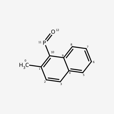 Cc1ccc2ccccc2c1P=O